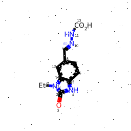 CCn1c(=O)[nH]c2ccc(/C=N/NC(=O)O)cc21